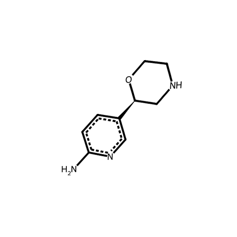 Nc1ccc([C@@H]2CNCCO2)cn1